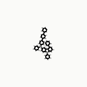 c1ccc(-c2ccc(-c3ccc(N(c4ccccc4)c4ccc5c(c4)c4c(-c6ccccc6)cccc4n5-c4ccccc4)cc3)cc2)cc1